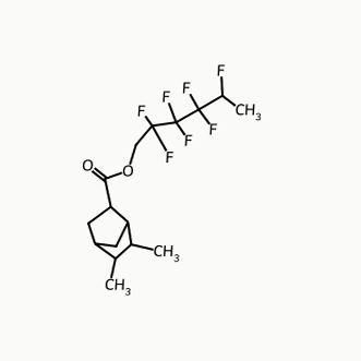 CC1C2CC(C(=O)OCC(F)(F)C(F)(F)C(F)(F)C(C)F)C(C2)C1C